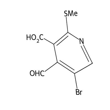 CSc1ncc(Br)c(C=O)c1C(=O)O